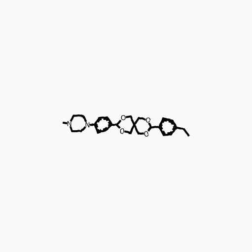 CCc1ccc(C2OCC3(CO2)COC(c2ccc(N4CCN(C)CC4)cc2)OC3)cc1